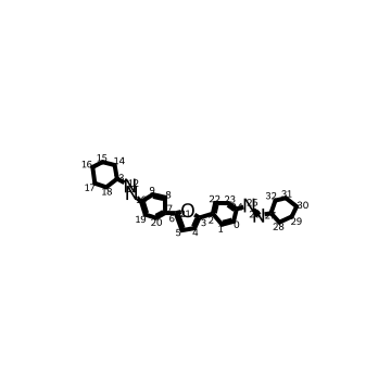 c1cc(-c2ccc(-c3ccc(N=NC4CCCCC4)cc3)o2)ccc1N=NC1CCCCC1